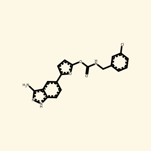 Nc1n[nH]c2ccc(-c3ccc(OC(=O)NCc4cccc(Cl)c4)o3)cc12